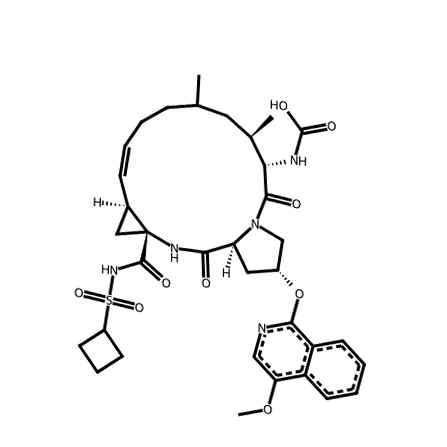 COc1cnc(O[C@@H]2C[C@H]3C(=O)N[C@]4(C(=O)NS(=O)(=O)C5CCC5)C[C@H]4C=CCCC(C)C[C@@H](C)[C@H](NC(=O)O)C(=O)N3C2)c2ccccc12